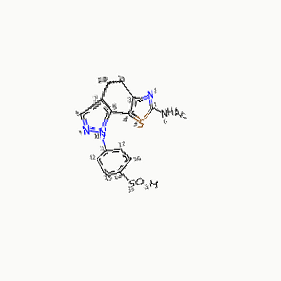 CC(=O)Nc1nc2c(s1)-c1c(cnn1-c1ccc(S(=O)(=O)O)cc1)CC2